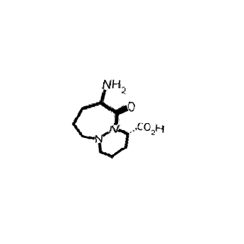 NC1CCCN2CCC[C@@H](C(=O)O)N2C1=O